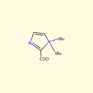 CC(C)(C)[N+]1(C(C)(C)C)C=CN=C1C(=O)[O-]